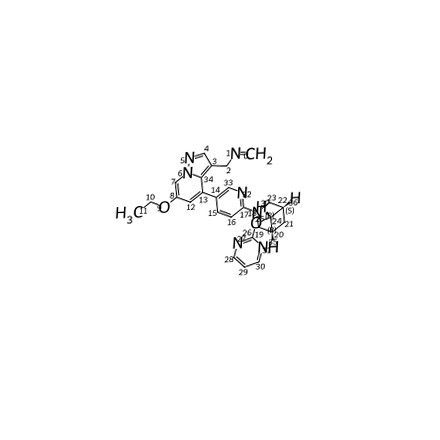 C=NCc1cnn2cc(OCC)cc(-c3ccc(N4C[C@H]5C[C@@H](C4)[C@H]5Oc4ncccn4)nc3)c12